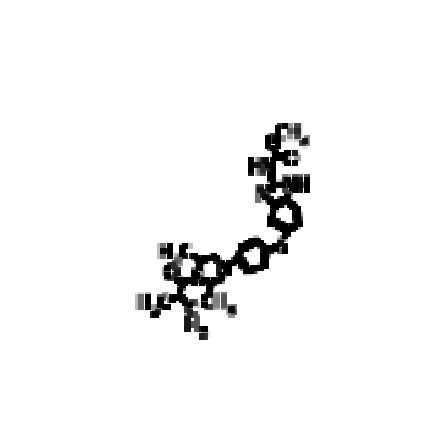 COC(=O)Nc1nc2cc(Sc3ccc(N4CC(C)N(C(=O)C(C)C)C(C)C4)cc3)ccc2[nH]1